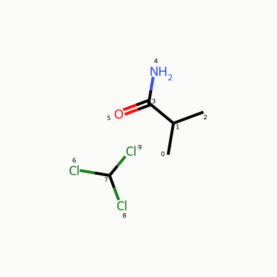 CC(C)C(N)=O.ClC(Cl)Cl